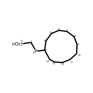 CCCCCCCCC[P]C1CCCCCCCCCCC1